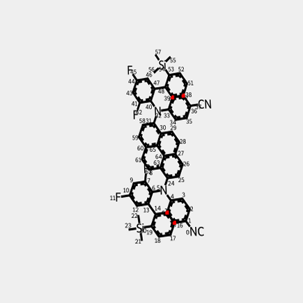 [C-]#[N+]c1ccc(N(c2c(F)cc(F)cc2-c2ccccc2[Si](C)(C)C)c2ccc3ccc4c(N(c5ccc(C#N)cc5)c5c(F)cc(F)cc5-c5ccccc5[Si](C)(C)C)ccc5ccc2c3c54)cc1